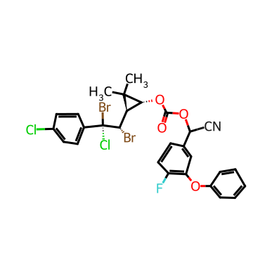 CC1(C)[C@H]([C@H](Br)[C@](Cl)(Br)c2ccc(Cl)cc2)[C@H]1OC(=O)OC(C#N)c1ccc(F)c(Oc2ccccc2)c1